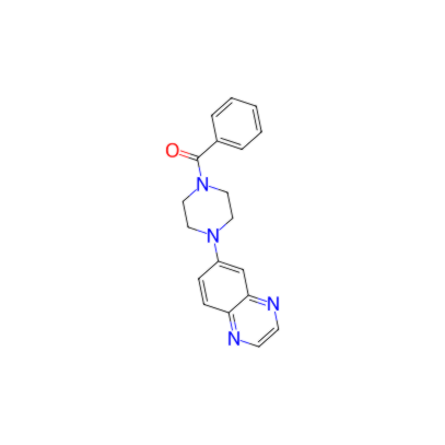 O=C(c1ccccc1)N1CCN(c2ccc3nccnc3c2)CC1